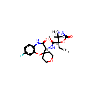 CC[C@@](OC(N)=O)(C(=O)N[C@@H]1C(=O)Nc2ccc(F)cc2OC12CCOCC2)C(C)(C)C